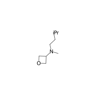 CC(C)CCN(C)C1COC1